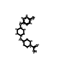 O=C(O)N1CCC(O[C@H]2CC[C@H](Oc3ccc(Br)nn3)CC2)CC1